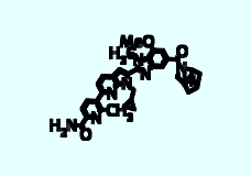 COc1cc(C(=O)N2CC3CC4CC2[C@H]43)cc2nc(-c3cc4ccc(-c5ccc(C(N)=O)nc5C)nc4n3CC3CC3)n(C)c12